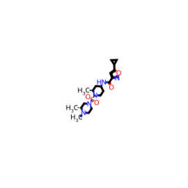 C[C@@H]1CN(S(=O)(=O)N2CC[C@H](NC(=O)c3cc(C4CC4)on3)C[C@@H]2C)CCN1C